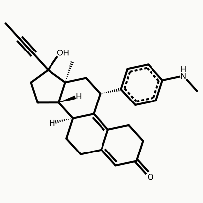 CC#CC1(O)CC[C@H]2[C@@H]3CCC4=CC(=O)CCC4=C3[C@@H](c3ccc(NC)cc3)C[C@@]21C